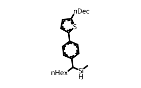 CCCCCCCCCCc1ccc(-c2ccc(C(CCCCCC)[SiH](C)C)cc2)s1